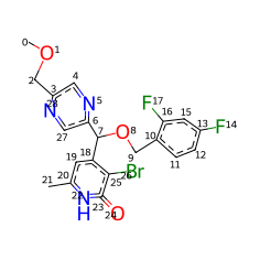 COCc1cnc(C(OCc2ccc(F)cc2F)c2cc(C)[nH]c(=O)c2Br)cn1